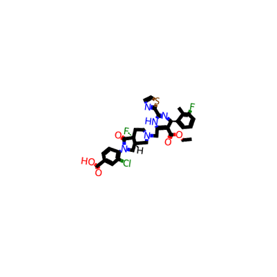 CCOC(=O)C1=C(CN2CC[C@]3(F)C(=O)N(c4ccc(C(=O)O)cc4Cl)C[C@@H]3C2)NC(c2nccs2)=N[C@H]1c1cccc(F)c1C